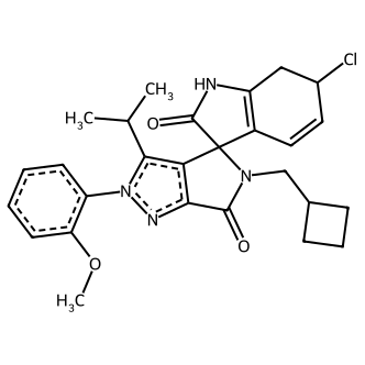 COc1ccccc1-n1nc2c(c1C(C)C)C1(C(=O)NC3=C1C=CC(Cl)C3)N(CC1CCC1)C2=O